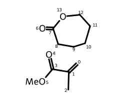 C=C(C)C(=O)OC.O=C1CCCCCO1